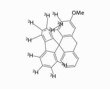 [2H]c1c(OC)cc2c(c1[2H])C1(c3ccccc3C2)c2c([2H])c([2H])c([2H])c([2H])c2-c2c([2H])c([2H])c([2H])c([2H])c21